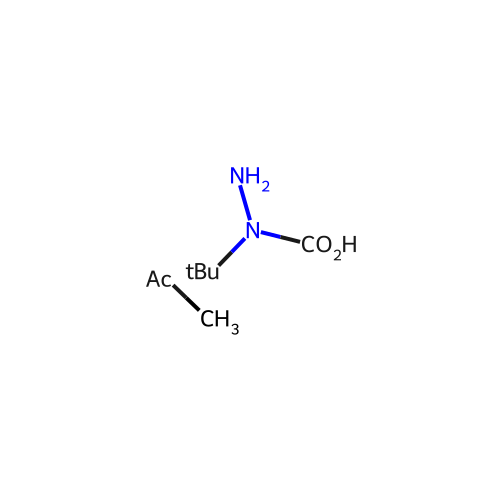 CC(C)(C)N(N)C(=O)O.CC(C)=O